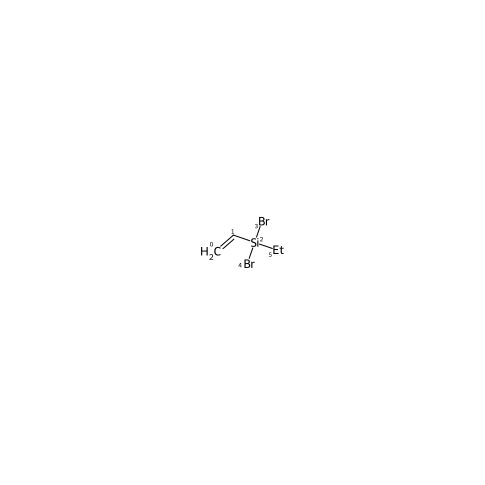 C=C[Si](Br)(Br)CC